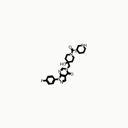 O=C([C@@H]1CCCNC1)N1CCC(O)(Cn2cnc3c(cnn3-c3ccc(F)cc3)c2=O)CC1